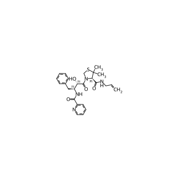 C=CCNC(=O)[C@H]1N(C(=O)[C@@H](O)[C@H](Cc2ccccc2)NC(=O)c2ccccn2)CSC1(C)C